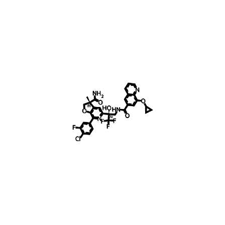 C[C@]1(C(N)=O)COc2c1cc([C@@](O)(CNC(=O)c1cc(OC3CC3)c3ncccc3c1)C(F)(F)F)nc2-c1ccc(Cl)c(F)c1